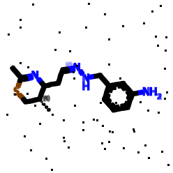 CC1=NC(C/C=N\NCc2cccc(N)c2)[C@H](C)CS1